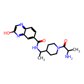 CC(N)C(=O)N1CCC(C(C)NC(=O)c2ccc3ncc(O)nc3c2)CC1